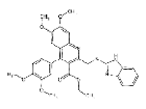 CCOC(=O)c1c(CSc2nc3ccccc3[nH]2)nc2cc(OC)c(OC)cc2c1-c1ccc(OC)c(OC)c1